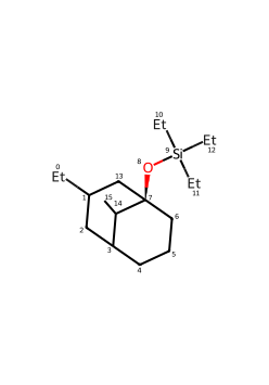 CCC1CC2CCC[C@@](O[Si](CC)(CC)CC)(C1)C2C